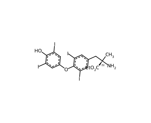 CCOC(=O)[C@@](C)(N)Cc1cc(I)c(Oc2cc(I)c(O)c(I)c2)c(I)c1